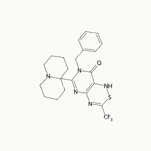 O=c1c2c(nc(C34CCCCN3CCCC4)n1Cc1ccccc1)N=C(C(F)(F)F)SN2